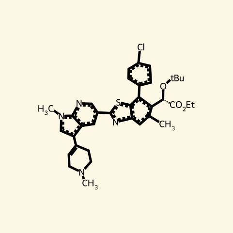 CCOC(=O)[C@@H](OC(C)(C)C)c1c(C)cc2nc(-c3cnc4c(c3)c(C3=CCN(C)CC3)cn4C)sc2c1-c1ccc(Cl)cc1